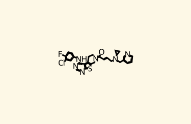 O=C(C=CCN(Cc1cccnc1)C1CC1)N1CCc2c(sc3ncnc(Nc4ccc(F)c(Cl)c4)c23)C1